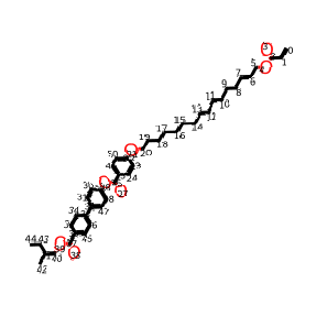 C=CC(=O)OCCCCCCCCCCCCCCCCOc1ccc(C(=O)Oc2ccc(-c3ccc(C(=O)OCC(C)CC)cc3)cc2)cc1